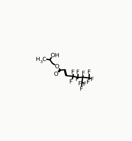 CC(O)COC(=O)C=CC(F)(F)C(F)(F)C(F)(C(F)(F)F)C(F)(F)F